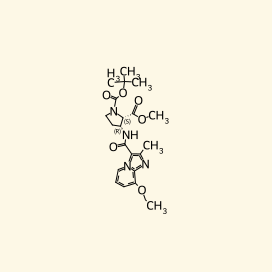 CCOc1cccn2c(C(=O)N[C@@H]3CCN(C(=O)OC(C)(C)C)[C@@H]3C(=O)OC)c(C)nc12